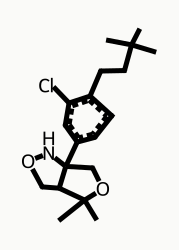 CC(C)(C)CCc1ccc(C23COC(C)(C)C2CON3)cc1Cl